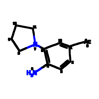 CC(=O)c1ccc(N)c(N2CCCC2)c1